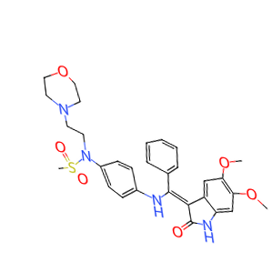 COc1cc2c(cc1OC)/C(=C(/Nc1ccc(N(CCN3CCOCC3)S(C)(=O)=O)cc1)c1ccccc1)C(=O)N2